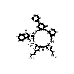 CN1C(=O)[C@H](CCCCN)NC(=O)[C@H](CCCN)NCc2cccnc2Sc2c(Cl)cc(-c3ccncn3)cc2CNC(=O)[C@@H]1Cc1c[nH]c2ccccc12